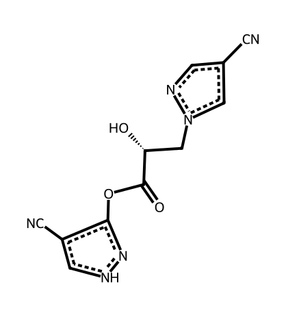 N#Cc1cnn(C[C@@H](O)C(=O)Oc2n[nH]cc2C#N)c1